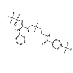 CC(C)(CCNC(=O)c1ccc(C(F)(F)F)cc1)CNC(=NS(=O)(=O)C(F)(F)F)Nc1cccnc1